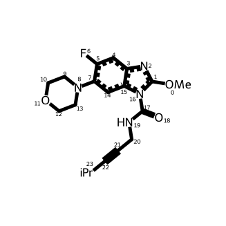 COc1nc2cc(F)c(N3CCOCC3)cc2n1C(=O)NCC#CC(C)C